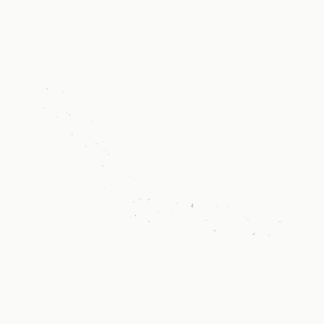 O=C(Nc1ccc2c(cnn2-c2ccc(NC(=O)N3CCC(N4CCOCC4)CC3)cc2)c1)c1ccc(N2CCOCC2)cc1